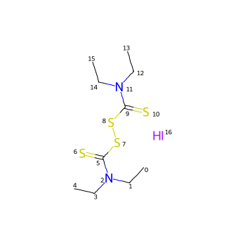 CCN(CC)C(=S)SSC(=S)N(CC)CC.I